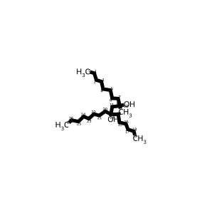 CCCCCCCCC(C)(O)CC(O)(CCCCCC)CCCCCCCC